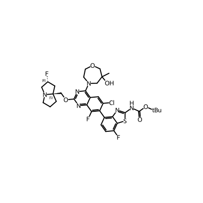 CC1(O)COCCN(c2nc(OC[C@@]34CCCN3C[C@H](F)C4)nc3c(F)c(-c4ccc(F)c5sc(NC(=O)OC(C)(C)C)nc45)c(Cl)cc23)C1